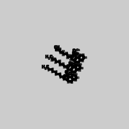 CCCCCCCCCCc1ccc2ccccc2c1S(=O)(=O)[O-].CCCCCCCCCCc1ccc2ccccc2c1S(=O)(=O)[O-].CCCCCCCCCCc1ccc2ccccc2c1S(=O)(=O)[O-].[Cr+3]